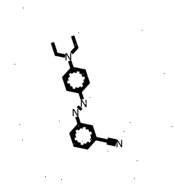 CCN(CC)c1ccc(N=Nc2cccc(C#N)c2)cc1